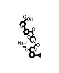 CCOc1cc(C(=O)N2CCC3(CC2)CC(=O)c2cc(-c4cc(C(=O)O)ccn4)ccc2O3)nc2c(C3CC3)cccc12.[NaH]